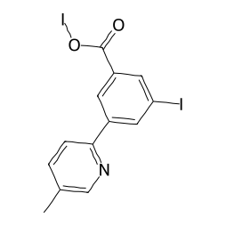 Cc1ccc(-c2cc(I)cc(C(=O)OI)c2)nc1